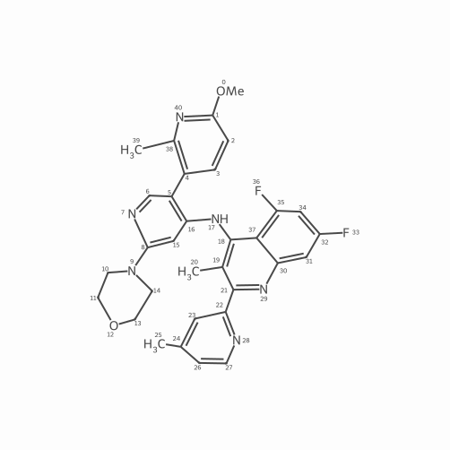 COc1ccc(-c2cnc(N3CCOCC3)cc2Nc2c(C)c(-c3cc(C)ccn3)nc3cc(F)cc(F)c23)c(C)n1